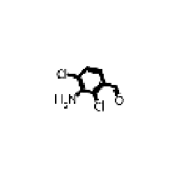 Nc1c(Cl)ccc(C=O)c1Cl